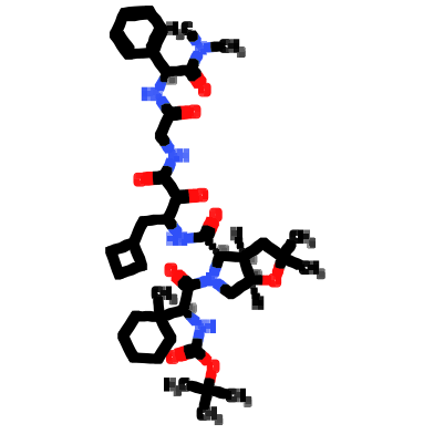 CN(C)C(=O)[C@@H](NC(=O)CNC(=O)C(=O)C(CC1CCC1)NC(=O)[C@@H]1[C@H]2CC(C)(C)O[C@H]2CN1C(=O)[C@@H](NC(=O)OC(C)(C)C)C1(C)CCCCC1)c1ccccc1